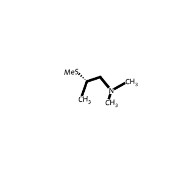 CS[C@@H](C)CN(C)C